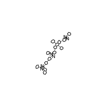 Cn1c(-c2ccccc2)nc2cc(-c3ccc4c(-c5ccccc5)c5ccc(-c6ccc7nc(-c8ccc(-c9ccc(-c%10nc(-c%11ccccc%11)nc%11c%10ccc%10ccccc%10%11)cc9)cc8)n(-c8ccccc8)c7c6)cc5c(-c5ccccc5)c4c3)ccc21